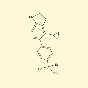 CCC(N)(CC)c1ccc(-c2ccc3[nH]ccc3c2C2CC2)nc1